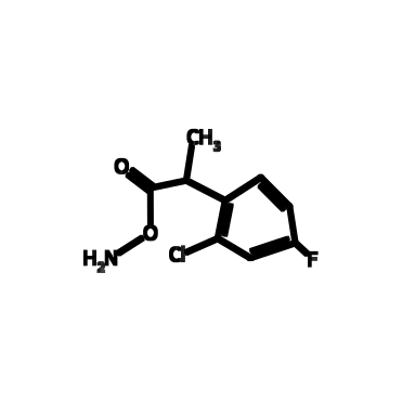 CC(C(=O)ON)c1ccc(F)cc1Cl